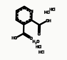 Cl.Cl.Cl.Cl.O.O=C(O)c1cccnc1C(=O)O